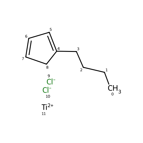 CCCCC1=CC=CC1.[Cl-].[Cl-].[Ti+2]